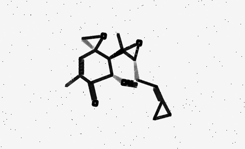 CO[C@@H]1C(=O)C(C)=C[C@]2(CO2)[C@H]1C1(C)O[C@@H]1CC=C1CC1